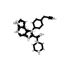 N#CCC1CCC(n2c(C(=O)N3CCOCC3)nc3cnc4[nH]ccc4c32)CC1